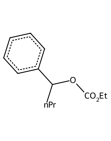 CCCC(OC(=O)OCC)c1ccccc1